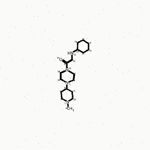 CN1CCC(N2CCN(C(=O)CNC3CCCCC3)CC2)CC1